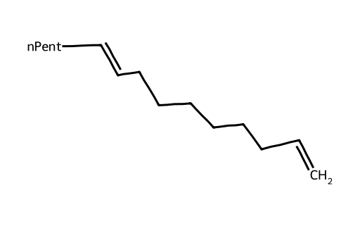 C=CCCCCCCC=CCCCCC